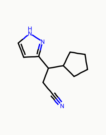 N#CCC(c1cc[nH]n1)C1CCCC1